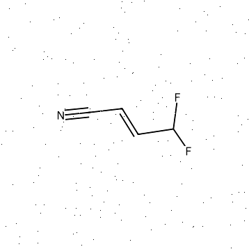 N#CC=CC(F)F